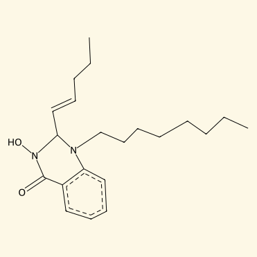 CCCC=CC1N(O)C(=O)c2ccccc2N1CCCCCCCC